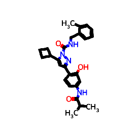 Cc1ccccc1CNC(=O)n1nc(-c2ccc(NC(=O)C(C)C)cc2O)cc1C1CCC1